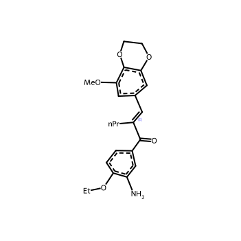 CCC/C(=C\c1cc(OC)c2c(c1)OCCO2)C(=O)c1ccc(OCC)c(N)c1